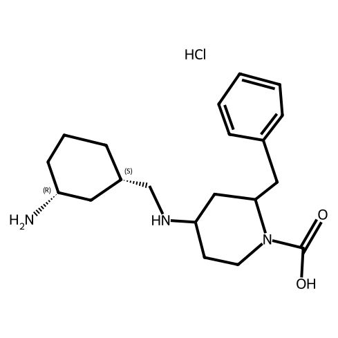 Cl.N[C@@H]1CCC[C@H](CNC2CCN(C(=O)O)C(Cc3ccccc3)C2)C1